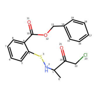 CC(NSc1ccccc1C(=O)OCc1ccccc1)C(=O)CCl